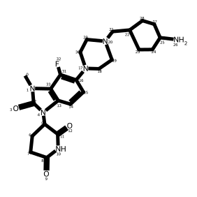 Cn1c(=O)n(C2CCC(=O)NC2=O)c2ccc(N3CCN(CC4CCC(N)CC4)CC3)c(F)c21